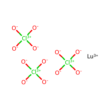 [Lu+3].[O-][Cl+3]([O-])([O-])[O-].[O-][Cl+3]([O-])([O-])[O-].[O-][Cl+3]([O-])([O-])[O-]